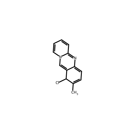 CC1=CC=C2N=C3C=CC=CN3C=C2C1Cl